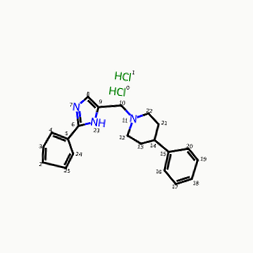 Cl.Cl.c1ccc(-c2ncc(CN3CCC(c4ccccc4)CC3)[nH]2)cc1